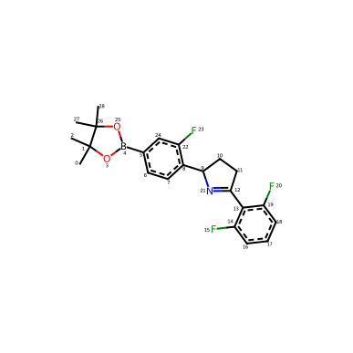 CC1(C)OB(c2ccc(C3CCC(c4c(F)cccc4F)=N3)c(F)c2)OC1(C)C